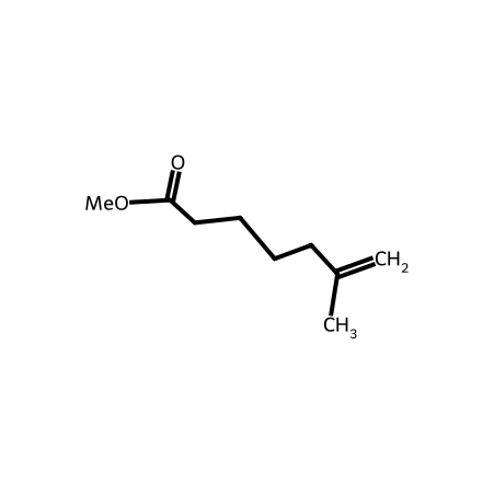 C=C(C)CCCCC(=O)OC